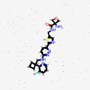 NC1(C(=O)NCc2cnc(-c3ccc(NCC4(c5ncccc5F)CCC4)nn3)s2)COC1